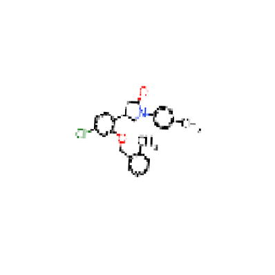 Cc1ccc(N2CC(c3ccc(Cl)cc3OCc3ccccc3C)CC2=O)cc1